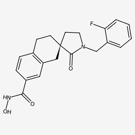 O=C(NO)c1ccc2c(c1)C[C@@]1(CC2)CCN(Cc2ccccc2F)C1=O